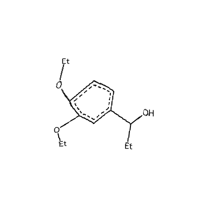 CCOc1ccc(C(O)CC)cc1OCC